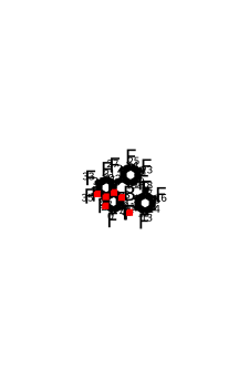 Fc1cc(F)c(F)c(B(c2c(F)c(F)cc(F)c2F)c2c(F)c(F)c(F)c(F)c2-c2c(F)c(F)c(F)c(F)c2F)c1F